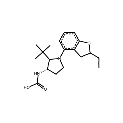 CCC1Cc2c(cccc2N2CC[C@H](NC(=O)O)C2C(C)(C)C)O1